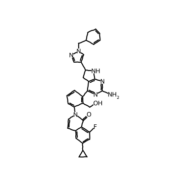 Nc1nc2c(c(-c3cccc(-n4ccc5cc(C6CC6)cc(F)c5c4=O)c3CO)n1)CC(c1cnn(CC3C=CC=CC3)c1)N2